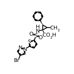 CC1[C@H](c2ccccc2)[C@]1(NS(=O)(=O)c1ccc(-n2cc(Br)cn2)s1)C(=O)O